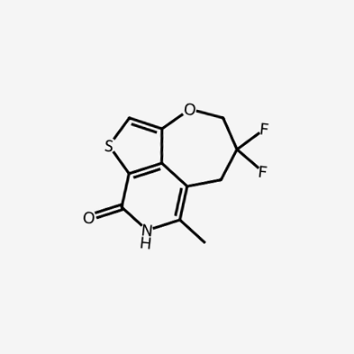 Cc1[nH]c(=O)c2scc3c2c1CC(F)(F)CO3